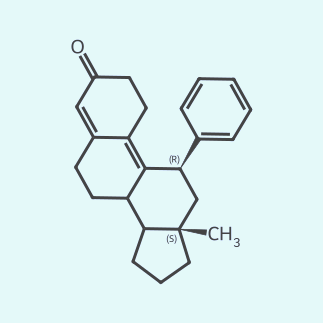 C[C@@]12CCCC1C1CCC3=CC(=O)CCC3=C1[C@@H](c1ccccc1)C2